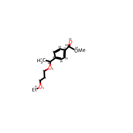 CCOCCCOC(C)c1ccc(C(=O)OC)cc1